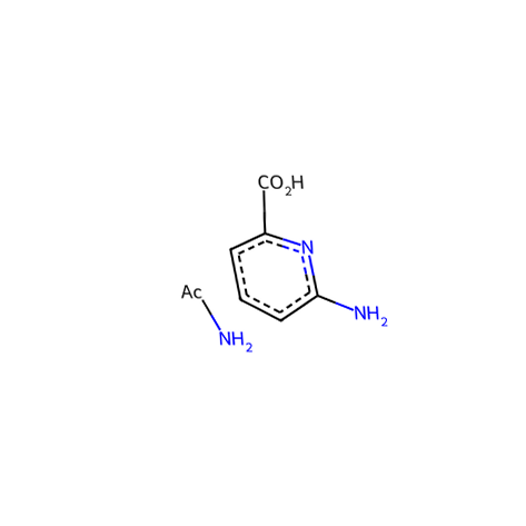 CC(N)=O.Nc1cccc(C(=O)O)n1